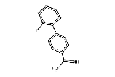 N=C(N)c1ccc(-c2ccc[c]c2F)cc1